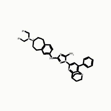 CC(C)CN(CC(C)C)[C@H]1CCc2ccc(Nc3nc(N)n(-c4cc(-c5ccccc5)c5c(n4)C4CCN5CC4)n3)cc2CC1